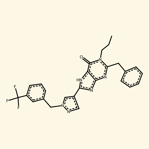 CCCn1c(Cc2ccccc2)nc2nc(-c3cnn(Cc4cccc(C(F)(F)F)c4)c3)[nH]c2c1=O